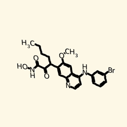 CCCCC(C(=O)C(=O)NO)c1cc2nccc(Nc3cccc(Br)c3)c2cc1OC